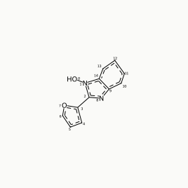 On1c(-c2ccco2)nc2ccccc21